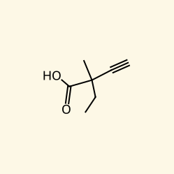 C#CC(C)(CC)C(=O)O